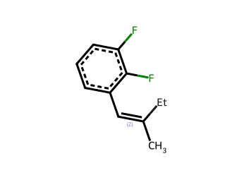 CC/C(C)=C\c1cccc(F)c1F